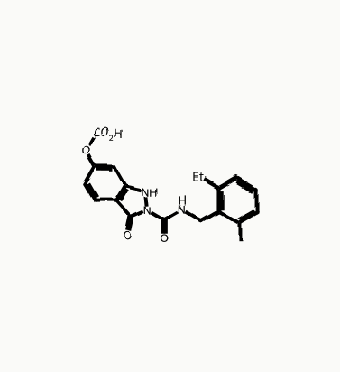 CCc1cccc(C)c1CNC(=O)n1[nH]c2cc(OC(=O)O)ccc2c1=O